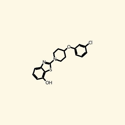 Oc1cccc2nc(N3CCC(Oc4cccc(Cl)c4)CC3)sc12